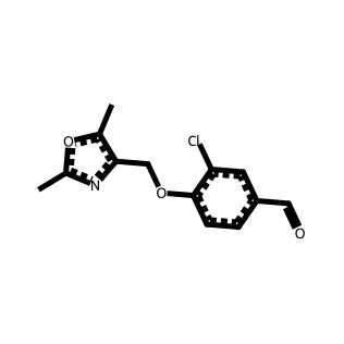 Cc1nc(COc2ccc(C=O)cc2Cl)c(C)o1